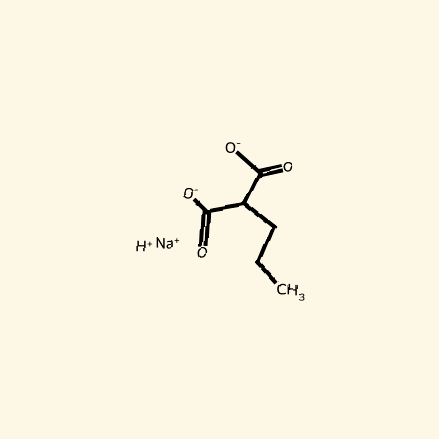 CCCC(C(=O)[O-])C(=O)[O-].[H+].[Na+]